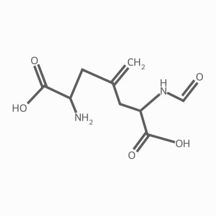 C=C(CC(N)C(=O)O)CC(NC=O)C(=O)O